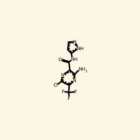 Nc1nc(C(F)(F)F)c(Cl)nc1C(=O)Nc1ccn[nH]1